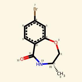 C[C@H]1COc2cc(Br)ccc2C(=O)N1